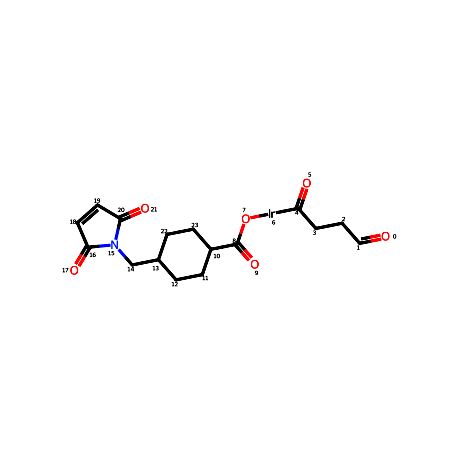 O=CCC[C](=O)[Ir][O]C(=O)C1CCC(CN2C(=O)C=CC2=O)CC1